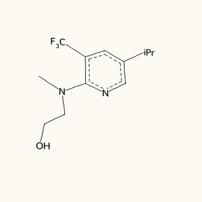 CC(C)c1cnc(N(C)CCO)c(C(F)(F)F)c1